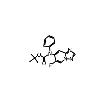 CC(C)(C)OC(=O)N(c1ccccc1)c1cc2ncnn2cc1F